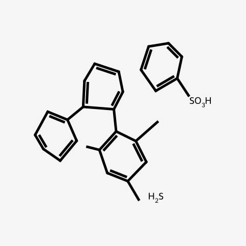 Cc1cc(C)c(-c2ccccc2-c2ccccc2)c(C)c1.O=S(=O)(O)c1ccccc1.S